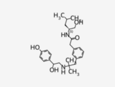 CC(C)C[C@@H](CO)NC(=O)Cc1cccc(CC(C)(C)NCC(O)c2ccc(O)cc2)c1